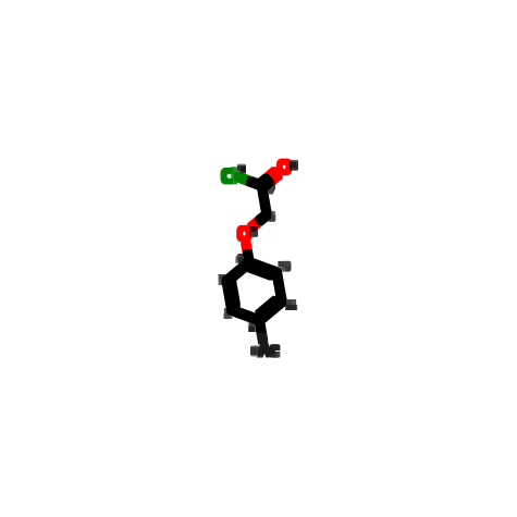 CC(=O)c1ccc(OCC(=O)Cl)cc1